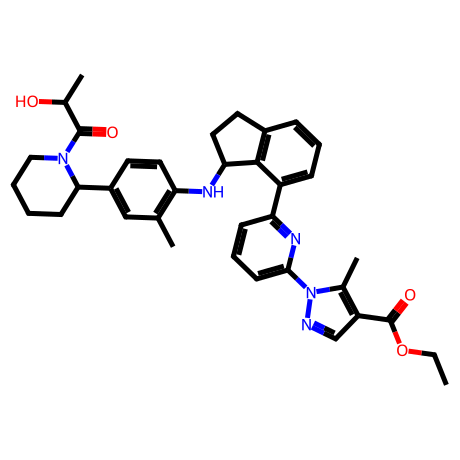 CCOC(=O)c1cnn(-c2cccc(-c3cccc4c3C(Nc3ccc(C5CCCCN5C(=O)C(C)O)cc3C)CC4)n2)c1C